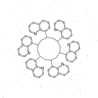 c1cnc2c(C3CC(c4cccc5cccnc45)CC(c4cccc5cccnc45)CC(c4cccc5cccnc45)CC(c4cccc5cccnc45)CC(c4cccc5cccnc45)C3)cccc2c1